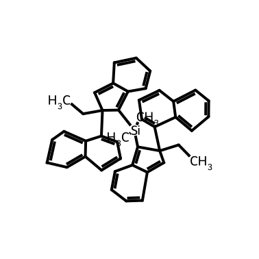 CCC1(c2cccc3ccccc23)C=c2ccccc2=C1[Si](C)(C)C1=c2ccccc2=CC1(CC)c1cccc2ccccc12